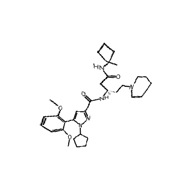 COc1cccc(OC)c1-c1cc(C(=O)N[C@@H](CCN2CCCCC2)CC(=O)NC2(C)CCC2)nn1C1CCCC1